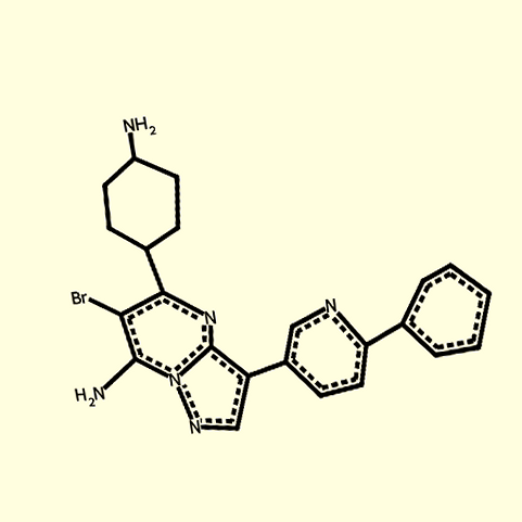 Nc1c(Br)c(C2CCC(N)CC2)nc2c(-c3ccc(-c4ccccc4)nc3)cnn12